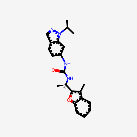 Cc1c([C@@H](C)NC(=O)Nc2ccc3cnn(C(C)C)c3c2)oc2ccccc12